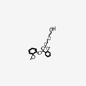 COc1ccccc1OC(OCOCCOCCO)c1ccccc1OC